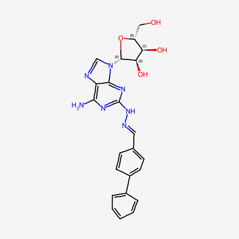 Nc1nc(NN=Cc2ccc(-c3ccccc3)cc2)nc2c1ncn2[C@@H]1O[C@H](CO)[C@@H](O)[C@H]1O